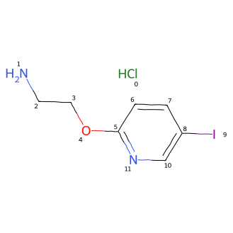 Cl.NCCOc1ccc(I)cn1